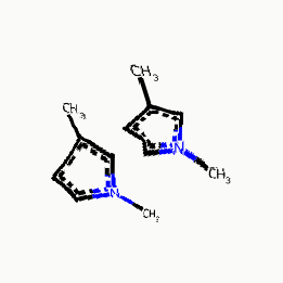 Cc1ccn(C)c1.Cc1ccn(C)c1